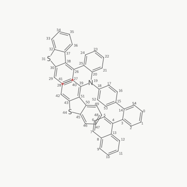 c1ccc(-c2cccc3ccccc23)c(-c2ccc(N(c3ccccc3-c3cccc4sc5ccccc5c34)c3cccc4sc5ccccc5c34)cc2)c1